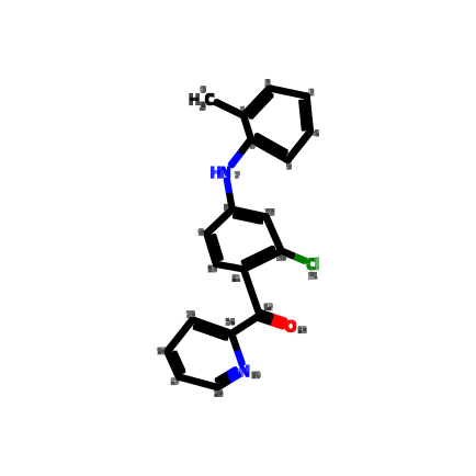 Cc1ccccc1Nc1ccc(C(=O)c2ccccn2)c(Cl)c1